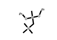 CC(C)O[Si](C)(C[Si](C)(C)C)OC(C)C